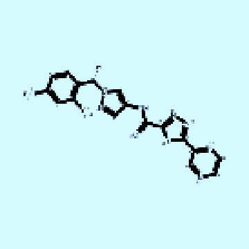 C[C@@H](c1ccc(C(F)(F)F)cc1C(F)(F)F)n1cc(NC(=O)c2nnc(-c3cnccn3)s2)cn1